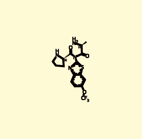 C[C@@H](N)C(=O)N(C(=O)[C@@H]1CCCN1)c1nc2ccc(OC(F)(F)F)cc2s1